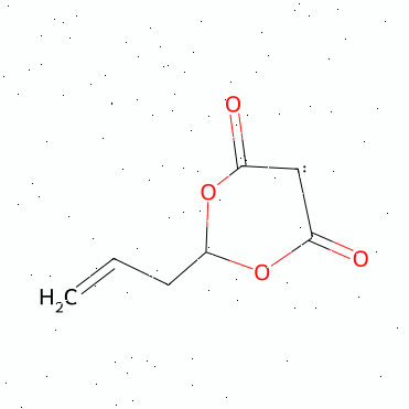 C=CCC1OC(=O)[C]C(=O)O1